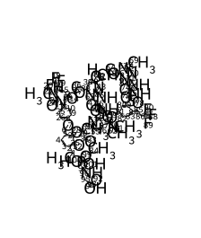 CCc1ccc(COc2ccc(-n3c(=O)cc(C(F)(F)F)n(C)c3=O)cc2)c(OC(C)C(=O)OC)c1.COc1cc(OC)nc(NC(=O)NS(=O)(=O)c2ncccc2C(=O)N(C)C)n1.COc1nc(C)nc(NC(=O)NS(=O)(=O)c2ccccc2CCC(F)(F)F)n1.O=C(O)CNCP(=O)(O)O